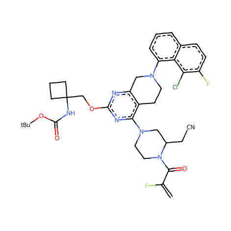 C=C(F)C(=O)N1CCN(c2nc(OCC3(NC(=O)OC(C)(C)C)CCC3)nc3c2CCN(c2cccc4ccc(F)c(Cl)c24)C3)CC1CC#N